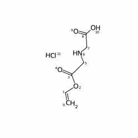 C=COC(=O)CNCC(=O)O.Cl